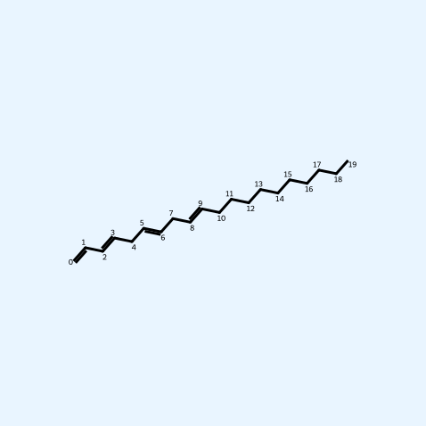 C=CC=CCC=CCC=CCCCCCCCCCC